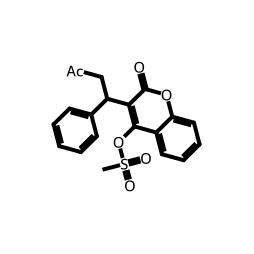 CC(=O)CC(c1ccccc1)c1c(OS(C)(=O)=O)c2ccccc2oc1=O